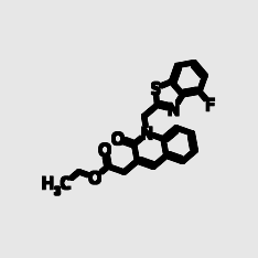 CCOC(=O)Cc1cc2ccccc2n(Cc2nc3c(F)cccc3s2)c1=O